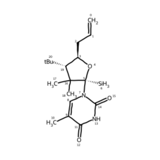 C=CC[C@H]1O[C@@]([SiH3])(n2cc(C)c(=O)[nH]c2=O)C(C)(C)[C@@H]1C(C)(C)C